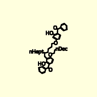 CCCCCCCCCCCCOc1ccc(C(=O)c2ccccc2)c(O)c1CC(CCCCCCC)CCCCOc1ccc(C(=O)c2ccccc2)c(O)c1